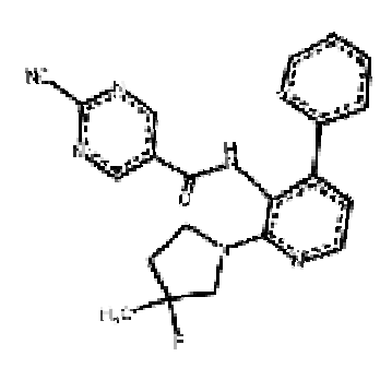 CC1(F)CCN(c2nccc(-c3ccccn3)c2NC(=O)c2cnc(C#N)nc2)C1